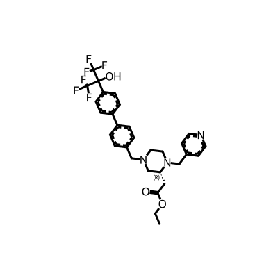 CCOC(=O)C[C@@H]1CN(Cc2ccc(-c3ccc(C(O)(C(F)(F)F)C(F)(F)F)cc3)cc2)CCN1Cc1ccncc1